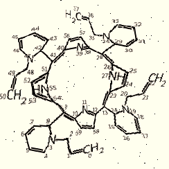 C=CCN1C=CC=CC1c1c2nc(c(C3C=CC=CN3CC=C)c3ccc([nH]3)c(C3C=CC=CN3CC=C)c3nc(c(C4C=CC=CN4CC=C)c4ccc1[nH]4)C=C3)C=C2